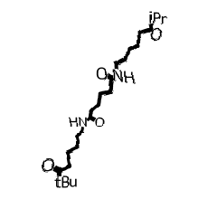 CC(C)C(=O)CCCCCNC(=O)CCCCC(=O)NCCCCCC(=O)C(C)(C)C